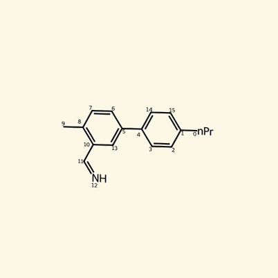 CCCc1ccc(-c2ccc(C)c(C=N)c2)cc1